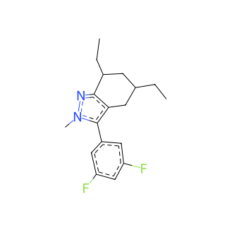 CCC1Cc2c(nn(C)c2-c2cc(F)cc(F)c2)C(CC)C1